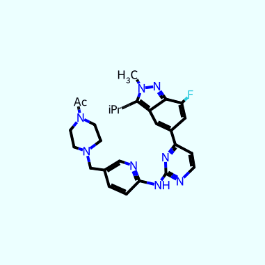 CC(=O)N1CCN(Cc2ccc(Nc3nccc(-c4cc(F)c5nn(C)c(C(C)C)c5c4)n3)nc2)CC1